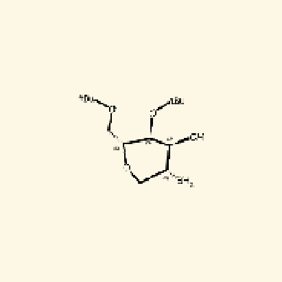 B[C@@H]1CO[C@H](COC(C)(C)C)[C@@H](OC(C)(C)C)[C@H]1O